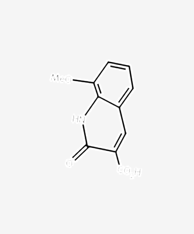 COc1cccc2cc(C(=O)O)c(=O)[nH]c12